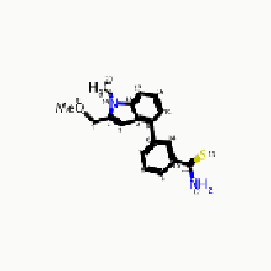 COCc1cc2c(-c3cccc(C(N)=S)c3)cccc2n1C